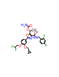 CC(OC(N)=O)c1oc(-c2ccc(OCC(F)F)c(OCC3CC3)c2)nc1C(=O)NCc1ccc(F)cc1F